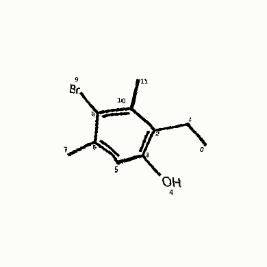 CCc1c(O)cc(C)c(Br)c1C